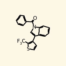 O=C(c1ccccc1)n1cc(-c2ccsc2C(F)(F)F)c2ccccc21